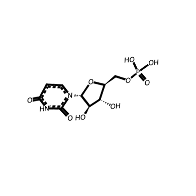 O=c1ccn([C@@H]2O[C@@H](COP(=O)(O)O)[C@H](O)[C@H]2O)c(=O)[nH]1